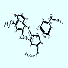 COCC1CCN(Cc2c(OC)cc(C)c3[nH]ccc23)[C@H](c2ccc(C(N)=O)cc2)C1